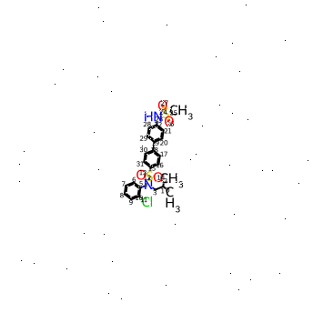 CC(C)CN(c1ccccc1Cl)S(=O)(=O)c1ccc(-c2ccc(NS(C)(=O)=O)cc2)cc1